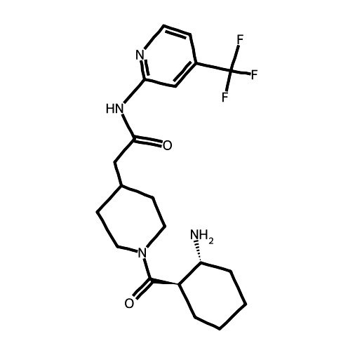 N[C@@H]1CCCC[C@H]1C(=O)N1CCC(CC(=O)Nc2cc(C(F)(F)F)ccn2)CC1